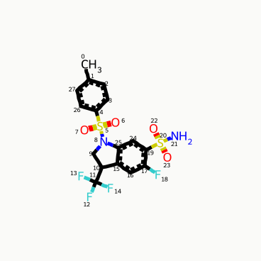 Cc1ccc(S(=O)(=O)N2CC(C(F)(F)F)c3cc(F)c(S(N)(=O)=O)cc32)cc1